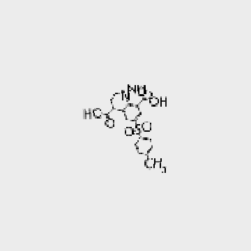 Cc1ccc(S(=O)(=O)c2cc(C(=O)O)c3c(c2)C(C(=O)O)CCN3N)cc1